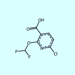 O=C(O)c1ccc(Cl)nc1OC(F)F